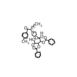 CCCC(C(=O)c1ccc(C)cc1)N1CCCC1.O=C(OC(C(=O)O)C(OC(=O)c1ccccc1)C(=O)O)c1ccccc1